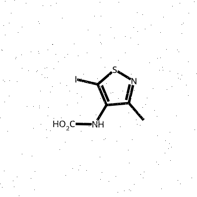 Cc1nsc(I)c1NC(=O)O